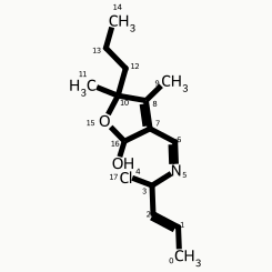 C/C=C/C(Cl)/N=C\C1=C(C)C(C)(CCC)OC1O